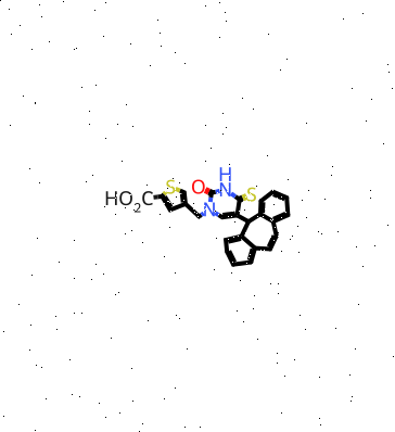 O=C(O)c1cc(Cn2cc(C3c4ccccc4C=Cc4ccccc43)c(=S)[nH]c2=O)cs1